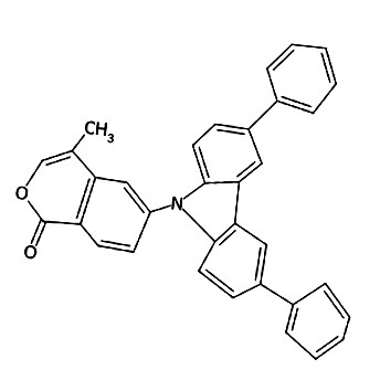 Cc1coc(=O)c2ccc(-n3c4ccc(-c5ccccc5)cc4c4cc(-c5ccccc5)ccc43)cc12